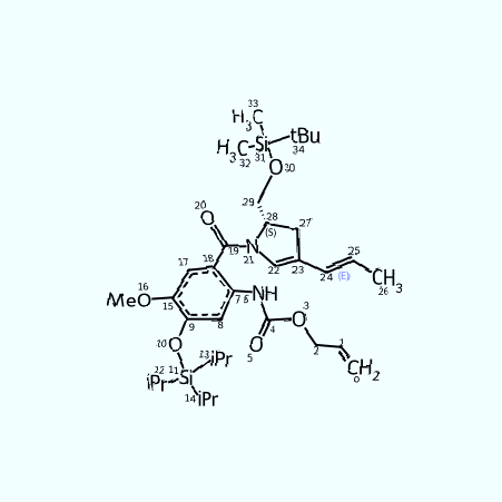 C=CCOC(=O)Nc1cc(O[Si](C(C)C)(C(C)C)C(C)C)c(OC)cc1C(=O)N1C=C(/C=C/C)C[C@H]1CO[Si](C)(C)C(C)(C)C